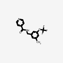 Cc1cc(CNC(=O)c2ccncc2)cc(OC(F)(F)F)c1